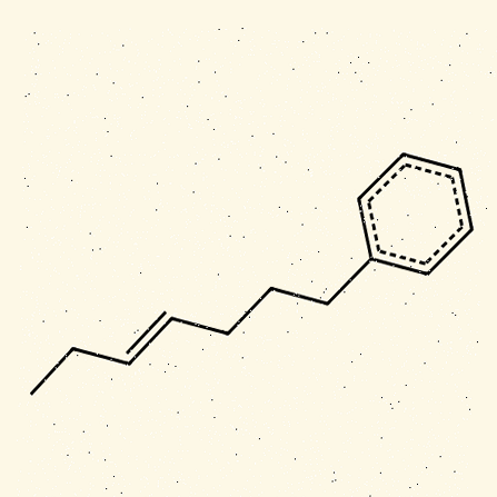 CCC=CCCCc1ccccc1